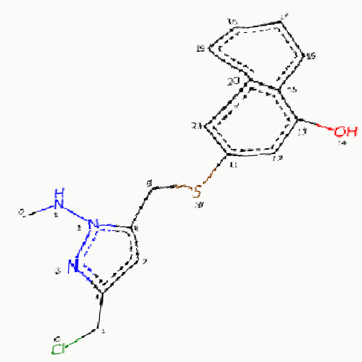 CNn1nc(CCl)cc1CSc1cc(O)c2ccccc2c1